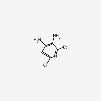 CCc1nc(Cl)cc(N)c1N